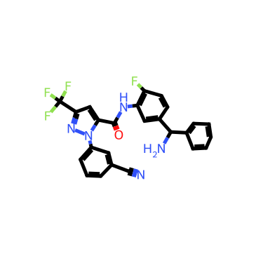 N#Cc1cccc(-n2nc(C(F)(F)F)cc2C(=O)Nc2cc(C(N)c3ccccc3)ccc2F)c1